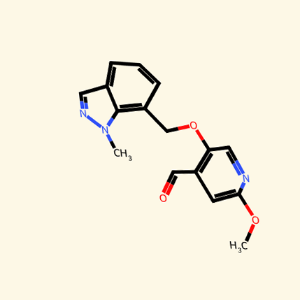 COc1cc(C=O)c(OCc2cccc3cnn(C)c23)cn1